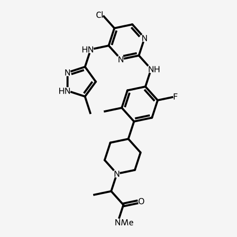 CNC(=O)C(C)N1CCC(c2cc(F)c(Nc3ncc(Cl)c(Nc4cc(C)[nH]n4)n3)cc2C)CC1